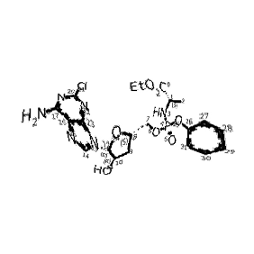 CCOC(=O)[C@H](C)NP(=O)(OC[C@@H]1C[C@@H](O)[C@H](n2cnc3c(N)nc(Cl)nc32)O1)Oc1ccccc1